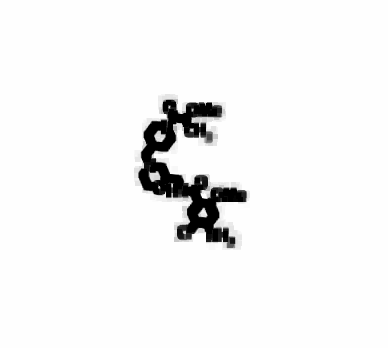 COc1cc(N)c(Cl)cc1C(=O)NCC1CN(CC2CCN(C(=O)C(C)OC)CC2)CCO1